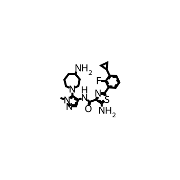 Cn1ncc(NC(=O)c2nc(-c3cccc(C4CC4)c3F)sc2N)c1N1CCCC(N)CC1